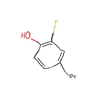 CC(C)c1ccc(O)c(F)c1